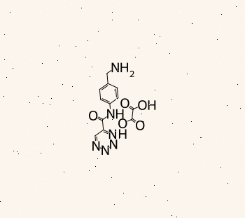 NCc1ccc(NC(=O)c2cnnnn2)cc1.O=C(O)C(=O)O